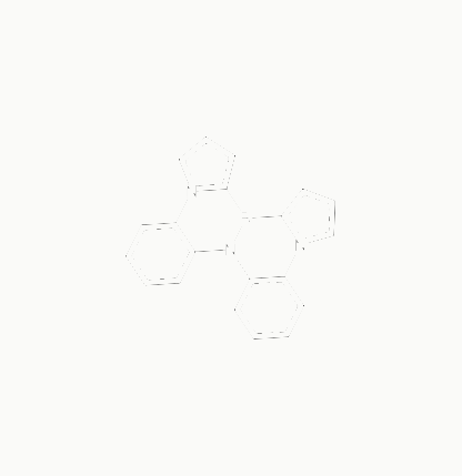 c1ccc2c(c1)N1B(c3cccn3-2)c2cccn2-c2ccccc21